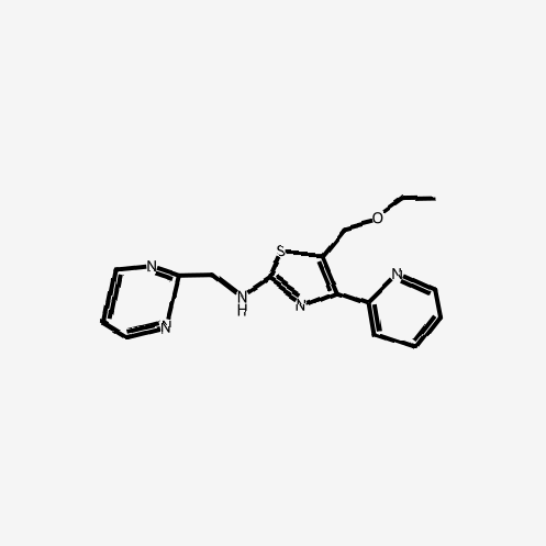 CCOCc1sc(NCc2ncccn2)nc1-c1ccccn1